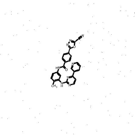 Cc1ccc(NC(=O)c2ccc(-c3nnc(C#N)o3)cc2)cc1Nc1nccc(-c2cccnc2)n1